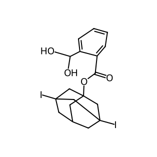 O=C(OC12CC3CC(I)(CC(I)(C3)C1)C2)c1ccccc1C(O)O